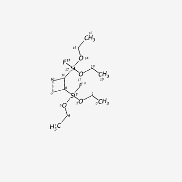 CCO[Si](F)(OCC)C1CCC1[Si](F)(OCC)OCC